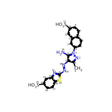 Cc1nn(-c2ccc3ccc(S(=O)(=O)O)cc3c2)c(N)c1/N=N/c1nc2cc(S(=O)(=O)O)ccc2s1